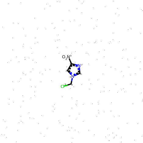 O=[N+]([O-])c1cn(CCl)cn1